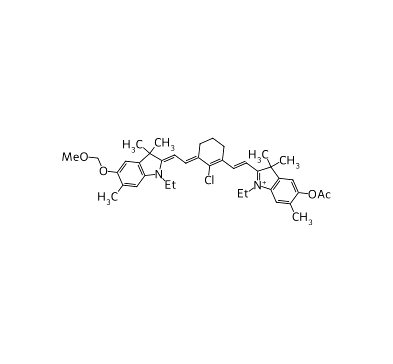 CCN1/C(=C\C=C2/CCCC(/C=C/C3=[N+](CC)c4cc(C)c(OC(C)=O)cc4C3(C)C)=C2Cl)C(C)(C)c2cc(OCOC)c(C)cc21